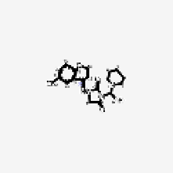 CCCC(N1CCCCC1)N1C(=O)CN(/N=C2\CCOc3ccc(Cl)cc32)C1=O